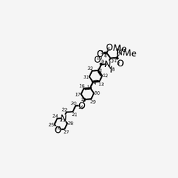 CNC(=O)C(C(=O)OC)N(I)C(=O)C1=CC=C(C2=CCC(OCCCN3CCOCC3)CC2)CC1